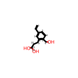 C=Cc1ccc(CO)c(CCC(O)O)c1